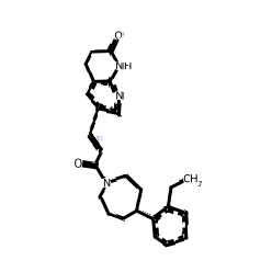 CCc1ccccc1C1CCCN(C(=O)/C=C/c2cnc3c(c2)CCC(=O)N3)CC1